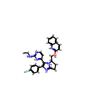 CCNc1nccc(-c2c(-c3ccc(F)cc3)nc3n2C(COc2ccc4ccccc4n2)CC3)n1